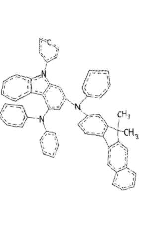 CC1(C)c2cc(N(c3ccccc3)c3cc(N(c4ccccc4)c4ccccc4)c4c5ccccc5n(-c5ccccc5)c4c3)ccc2-c2cc3ccccc3cc21